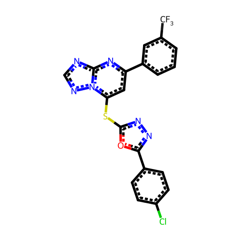 FC(F)(F)c1cccc(-c2cc(Sc3nnc(-c4ccc(Cl)cc4)o3)n3ncnc3n2)c1